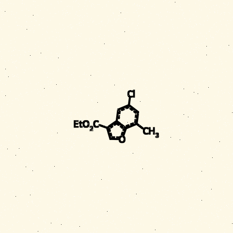 CCOC(=O)c1coc2c(C)cc(Cl)cc12